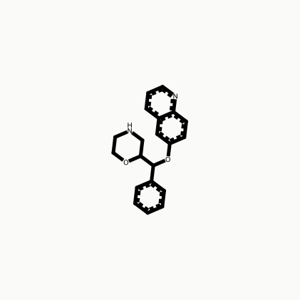 c1ccc(C(Oc2ccc3ncccc3c2)C2CNCCO2)cc1